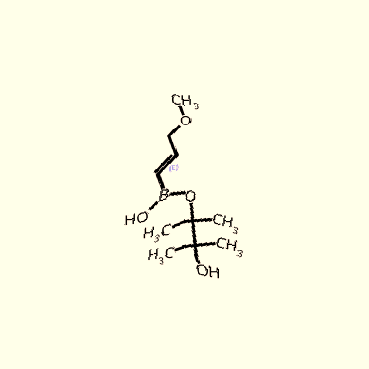 COC/C=C/B(O)OC(C)(C)C(C)(C)O